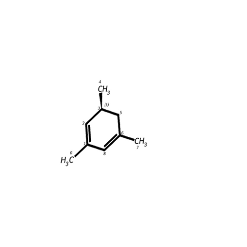 CC1=C[C@@H](C)CC(C)=C1